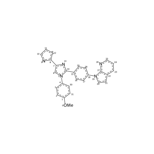 COc1ccc(-n2cc(-c3nccs3)nc2-c2ccc(-n3ccc4cccnc43)cc2)cc1